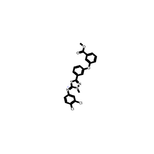 COC(=O)c1cccc(Oc2cccc(-c3nn(C)/c(=N\c4ccc(Cl)c(Cl)c4)s3)c2)c1